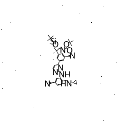 CC(C)(C)OC(=O)N1C[C@](C)(CO[Si](C)(C)C(C)(C)C)c2cc(-c3ccnc(Nc4cc(C#N)ccc4CNC4CC4)n3)cc(C#N)c21